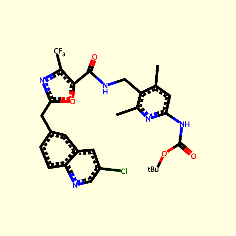 Cc1cc(NC(=O)OC(C)(C)C)nc(C)c1CNC(=O)c1oc(Cc2ccc3ncc(Cl)cc3c2)nc1C(F)(F)F